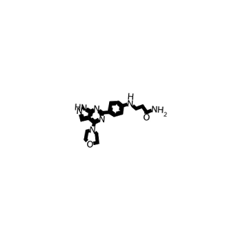 NC(=O)CCNc1ccc(-c2nc(N3CCOCC3)c3cn[nH]c3n2)cc1